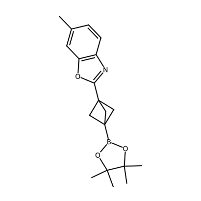 Cc1ccc2nc(C34CC(B5OC(C)(C)C(C)(C)O5)(C3)C4)oc2c1